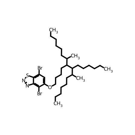 CCCCCCC(C)C(CCCCCC)C(CCCCOc1cc(Br)c2snnc2c1Br)C(C)CCCCCC